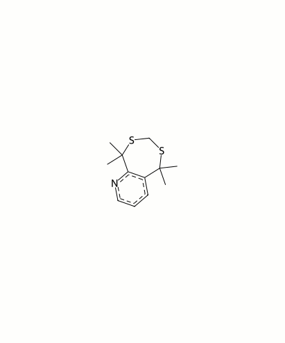 CC1(C)SCSC(C)(C)c2ncccc21